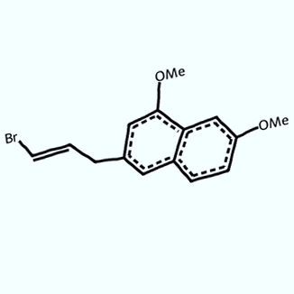 COc1ccc2cc(CC=CBr)cc(OC)c2c1